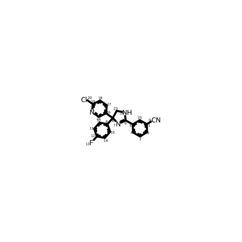 N#Cc1cccc(C2=NC(c3ccc(F)cc3)(c3ccc(Cl)nc3)CN2)c1